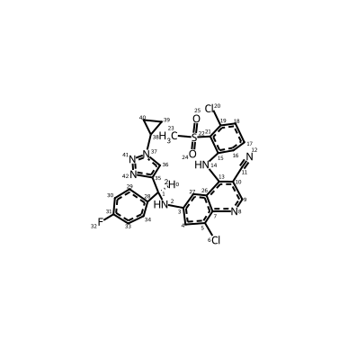 [2H][C@](Nc1cc(Cl)c2ncc(C#N)c(Nc3cccc(Cl)c3S(C)(=O)=O)c2c1)(c1ccc(F)cc1)c1cn(C2CC2)nn1